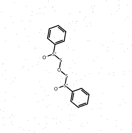 [O-][S+](SOS[S+]([O-])c1ccccc1)c1ccccc1